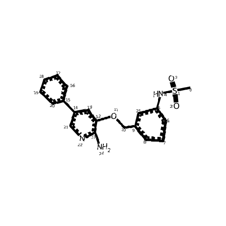 CS(=O)(=O)Nc1cccc(COc2cc(-c3ccccc3)cnc2N)c1